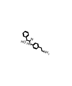 [N]C(Nc1ccc(CCN)cc1)[C@@H](O)c1ccccc1